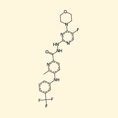 Cc1nc(C(=O)NNc2ncc(F)c(N3CCOCC3)n2)ccc1Nc1cccc(C(F)(F)F)c1